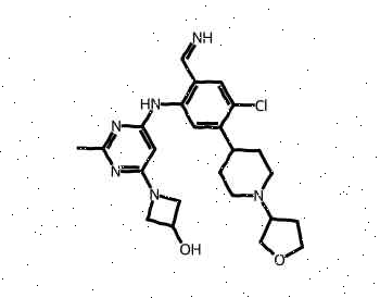 Cc1nc(Nc2cc(C3CCN(C4CCOC4)CC3)c(Cl)cc2C=N)cc(N2CC(O)C2)n1